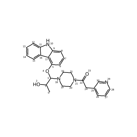 CC(O)C(Oc1cccc2[nH]c3ccccc3c12)N1CCN(C(=O)Cc2cccnc2)CC1